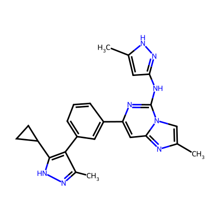 Cc1cn2c(Nc3cc(C)[nH]n3)nc(-c3cccc(-c4c(C)n[nH]c4C4CC4)c3)cc2n1